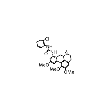 COc1cc(NC(=O)NC2=C(Cl)CCC=C2)c2c(c1)-c1c(OC)c(OC)cc3c1C(C2)N(C)CC3